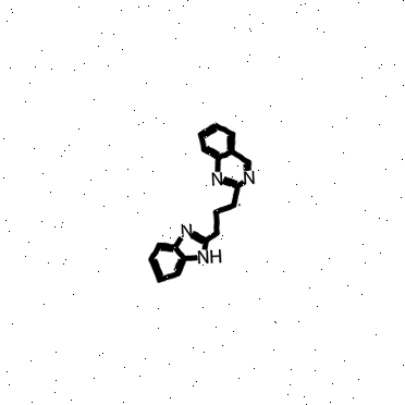 [CH](CCc1nc2ccccc2[nH]1)c1ncc2ccccc2n1